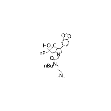 CCCCN(CCCN(C)C)C(=O)CN1C[C@H](c2ccc3c(c2)OCO3)[C@@H](C(=O)O)[C@@H]1CC(C)(C)CCC